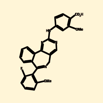 COc1cc(Nc2ncc3c(n2)-c2ccccc2C(c2c(F)cccc2OC)=NC3)ccc1C(=O)O